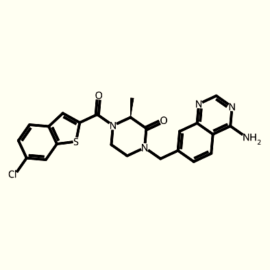 C[C@H]1C(=O)N(Cc2ccc3c(N)ncnc3c2)CCN1C(=O)c1cc2ccc(Cl)cc2s1